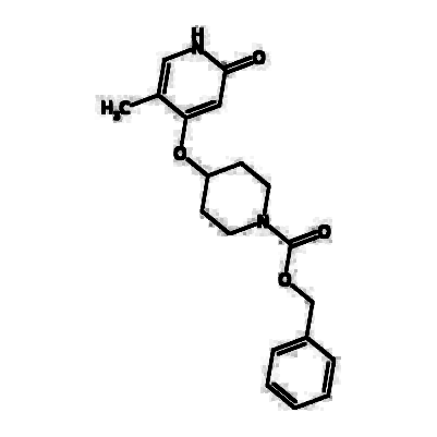 Cc1c[nH]c(=O)cc1OC1CCN(C(=O)OCc2ccccc2)CC1